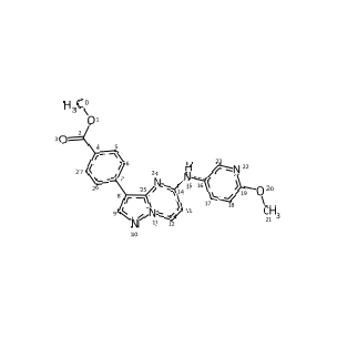 COC(=O)c1ccc(-c2cnn3ccc(Nc4ccc(OC)nc4)nc23)cc1